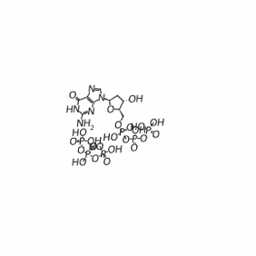 Nc1nc2c(ncn2[C@H]2C[C@H](O)[C@@H](COP(=O)(O)OP(=O)(O)OP(=O)(O)O)O2)c(=O)[nH]1.O=P(O)(O)OP(=O)(O)OP(=O)(O)O